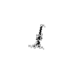 CCCCCCCC(=O)Nc1ncnc2c1ncn2[C@H]1C[C@@H](OC(C)=O)[C@@H](COC(C)=O)O1